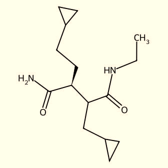 CCNC(=O)C(CC1CC1)[C@H](CCC1CC1)C(N)=O